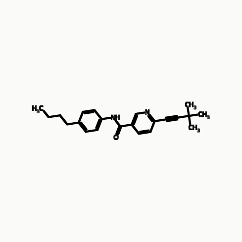 CCCCc1ccc(NC(=O)c2ccc(C#CC(C)(C)C)nc2)cc1